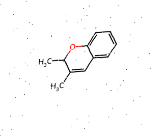 CC1=Cc2ccccc2OC1C